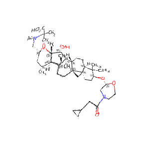 CC(=O)N(C[C@H]1C[C@@H](C)[C@H]2[C@H](O1)[C@H](O)[C@@]1(C)[C@@H]3CC[C@H]4C(C)(C)[C@@H](O[C@H]5CN(C(=O)CC6CC6)CCO5)CC[C@@]45C[C@@]35CC[C@]21C)C(C)(C)C(=O)O